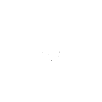 C1=C\COCCCC/C=C/1